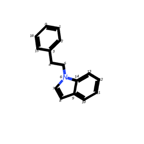 c1ccc(CCn2ccc3ccccc32)cc1